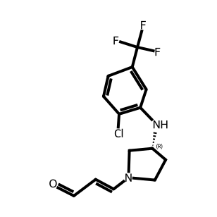 O=CC=CN1CC[C@@H](Nc2cc(C(F)(F)F)ccc2Cl)C1